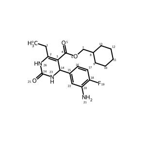 CCC1=C(C(=O)OCC2CCCCC2)C(c2ccc(F)c(N)c2)NC(=O)N1